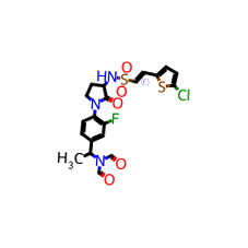 CC(c1ccc(N2CCC(NS(=O)(=O)/C=C/c3ccc(Cl)s3)C2=O)c(F)c1)N(C=O)C=O